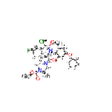 Cc1cc(Oc2ccccc2)ccc1N(C(=O)CCl)[C@@H](C(=O)N1CCN(C(=O)OC(C)(C)C)[C@H](C(C)C)C1)c1ccc(F)cc1